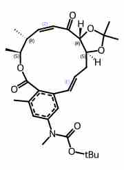 Cc1cc(N(C)C(=O)OC(C)(C)C)cc2c1C(=O)O[C@@H](C)[C@H](C)/C=C\C(=O)[C@@H]1OC(C)(C)O[C@H]1C/C=C/2